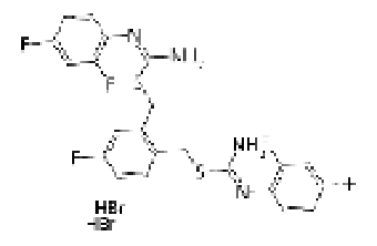 Br.Br.NC(=Nc1ccc(F)cc1F)SCc1cc(F)ccc1CS/C(N)=N/c1ccc(F)cc1F